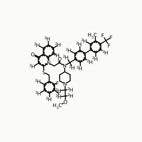 [2H]c1c([2H])c(F)c(F)c(CSc2c([2H])c(=O)c3c([2H])c([2H])c([2H])c([2H])c3n2CC(=O)N(C2CCN(C([2H])([2H])C([2H])([2H])OC)CC2)C([2H])([2H])c2c([2H])c([2H])c(-c3c([2H])c([2H])c(C(F)(F)F)c(C)c3[2H])c([2H])c2[2H])c1[2H]